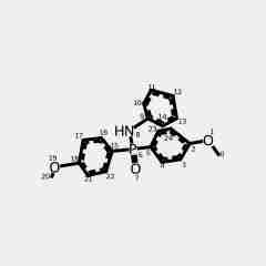 COc1ccc(P(=O)(Nc2ccccc2)c2ccc(OC)cc2)cc1